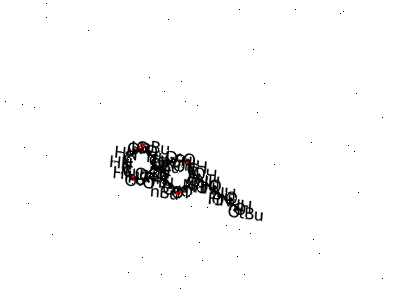 CCCCOC1C2=CCC[C@@H]1C(=O)NCCNCCNC(=O)[C@@H]1CCC=C(C(=O)NCCN(CCN3CCNC(=O)C4=CCC[C@H](C(=O)NCCN([C@@H](O)CNC(=O)CNC(=O)CNC(=O)CNC(=O)CNC(=O)OC(C)(C)C)CCNC(=O)[C@@H]5CCC=C(C(=O)NCC3)C5OCCCC)C4OCCCC)CCNC2=O)C1OCCCC